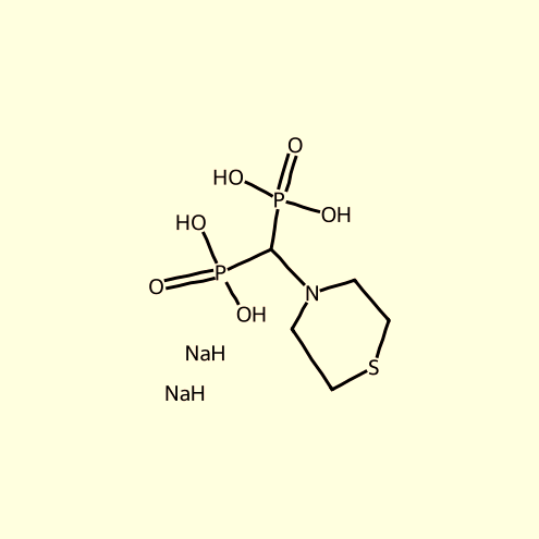 O=P(O)(O)C(N1CCSCC1)P(=O)(O)O.[NaH].[NaH]